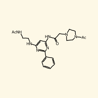 CC(=O)NCCNc1cc(NC(=O)CN2CCN(C(C)=O)CC2)nc(-c2ccccc2)n1